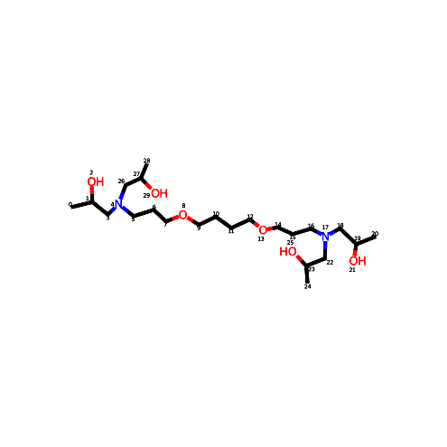 CC(O)CN(CCCOCCCCOCCCN(CC(C)O)CC(C)O)CC(C)O